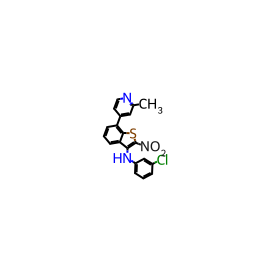 Cc1cc(-c2cccc3c(Nc4cccc(Cl)c4)c([N+](=O)[O-])sc23)ccn1